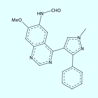 COc1cc2ncnc(-c3cn(C)nc3-c3ccccc3)c2cc1NC=O